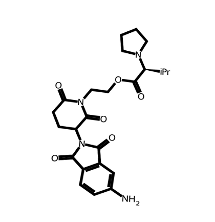 CC(C)[C@@H](C(=O)OCCN1C(=O)CCC(N2C(=O)c3ccc(N)cc3C2=O)C1=O)N1CCCC1